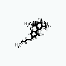 [2H]C([2H])([2H])C1=C[C@@]2([2H])c3c(O)cc(CCCCC)cc3OC(C)(C)[C@@H]2CC1([2H])[2H]